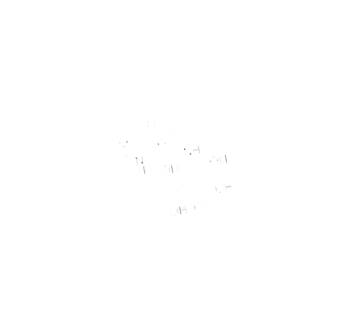 CC(=O)NC1C2OCC(O2)C(NC2C=C(CO)C(O)C(O)C2O)C1O